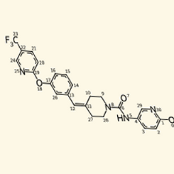 COc1ccc(NC(=O)N2CCC(=Cc3cccc(Oc4ccc(C(F)(F)F)cn4)c3)CC2)cn1